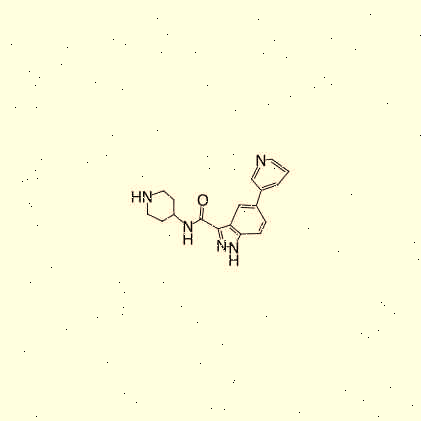 O=C(NC1CCNCC1)c1n[nH]c2ccc(-c3cccnc3)cc12